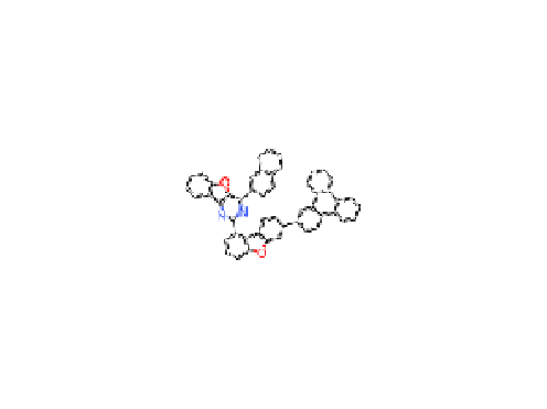 c1ccc2cc(-c3nc(-c4cccc5oc6cc(-c7ccc8c9ccccc9c9ccccc9c8c7)ccc6c45)nc4c3oc3ccccc34)ccc2c1